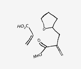 C=C(CC1CCCO1)C(=O)OC.C=CC(=O)O